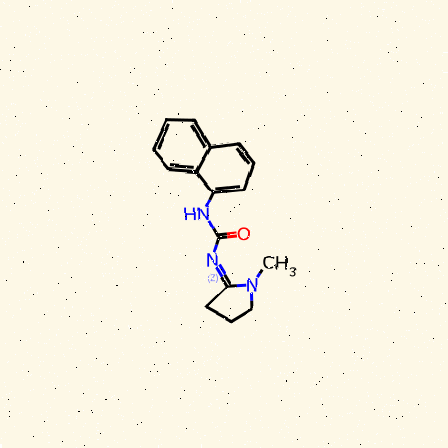 CN1CCC/C1=N/C(=O)Nc1cccc2ccccc12